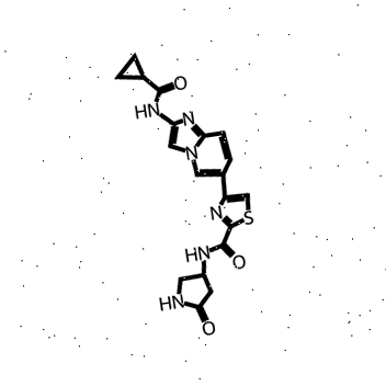 O=C1CC(NC(=O)c2nc(-c3ccc4nc(NC(=O)C5CC5)cn4c3)cs2)CN1